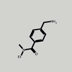 CCN(C)C(=O)c1ccc(CN)cc1